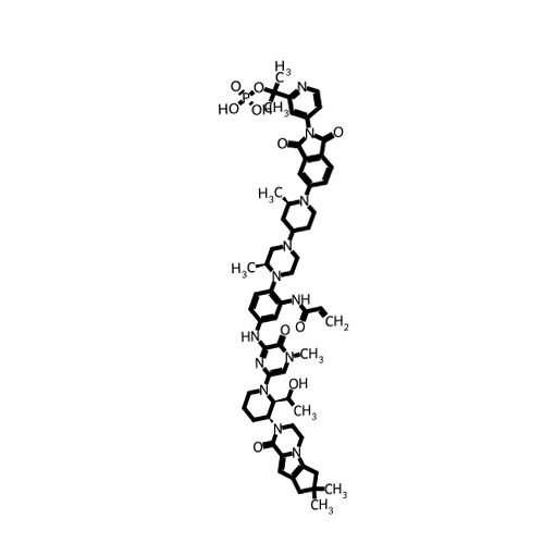 C=CC(=O)Nc1cc(Nc2nc(N3CCC[C@@H](N4CCn5c(cc6c5CC(C)(C)C6)C4=O)[C@@H]3C(C)O)cn(C)c2=O)ccc1N1CCN(C2CCN(c3ccc4c(c3)C(=O)N(c3ccnc(C(C)(C)OP(=O)(O)O)c3)C4=O)[C@H](C)C2)C[C@@H]1C